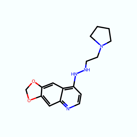 c1cc(NNCCN2CCCC2)c2cc3c(cc2n1)OCO3